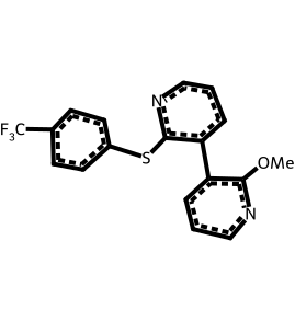 COc1ncccc1-c1cccnc1Sc1ccc(C(F)(F)F)cc1